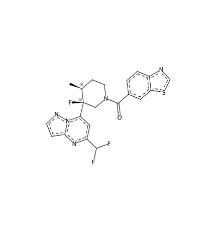 C[C@H]1CCN(C(=O)c2ccc3ncsc3c2)C[C@]1(F)c1cc(C(F)F)nc2ccnn12